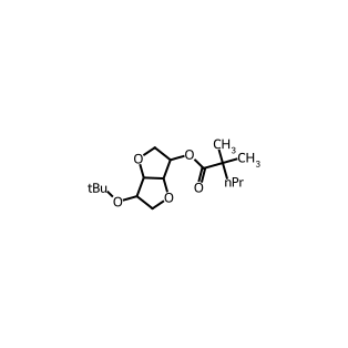 CCCC(C)(C)C(=O)OC1COC2C(OC(C)(C)C)COC12